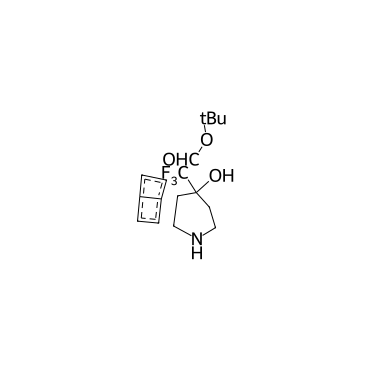 CC(C)(C)OC=O.OC1(C(F)(F)F)CCNCC1.c1cc2ccc1-2